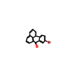 O=C1c2cc(Br)ccc2-c2cccc3cccc1c23